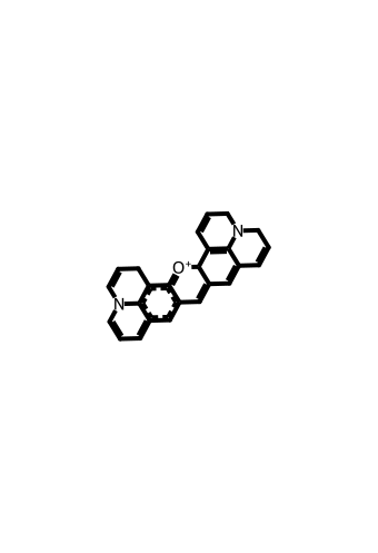 C1=CN2C=CCc3c2c(cc2c3=[O+]C3C(=C2)C=C2C=CCN4CC=CC3=C24)=C1